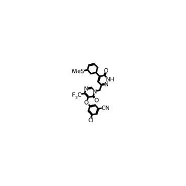 CSC1C=CCC(c2cc(Cn3cnc(C(F)(F)F)c(Oc4cc(Cl)cc(C#N)c4)c3=O)n[nH]c2=O)C1